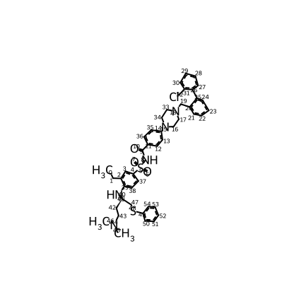 CCc1cc(S(=O)(=O)NC(=O)c2ccc(N3CCN(Cc4ccccc4-c4ccccc4Cl)CC3)cc2)ccc1N[C@H](CCN(C)C)CSc1ccccc1